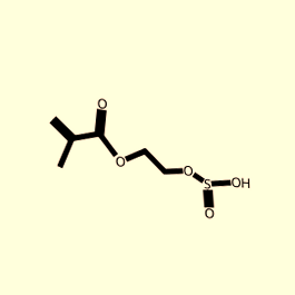 C=C(C)C(=O)OCCOS(=O)O